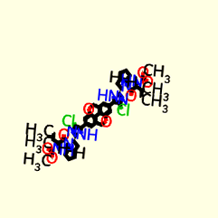 CC[C@H](C)[C@H](NC(=O)OC)C(=O)N1[C@H](c2nc(Cl)c(-c3cc4c5c(c3)OCc3cc(-c6[nH]c([C@@H]7C[C@@H]8CCC[C@@H]8N7C(=O)[C@@H](NC(=O)OC)[C@@H](C)CC)nc6Cl)cc(c3-5)OC4)[nH]2)C[C@@H]2CCC[C@@H]21